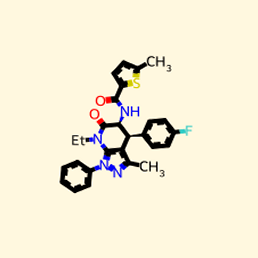 CCN1C(=O)[C@@H](NC(=O)c2ccc(C)s2)[C@@H](c2ccc(F)cc2)c2c(C)nn(-c3ccccc3)c21